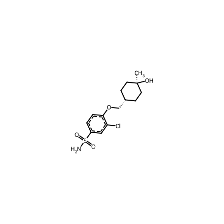 C[C@]1(O)CC[C@H](COc2ccc(S(N)(=O)=O)cc2Cl)CC1